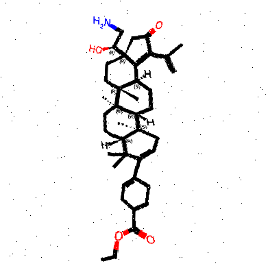 CCOC(=O)C1CC=C(C2=CC[C@]3(C)[C@H]4CC[C@@H]5C6=C(C(C)C)C(=O)C[C@]6([C@@H](O)CN)CC[C@@]5(C)[C@]4(C)CC[C@H]3C2(C)C)CC1